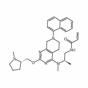 C=CC(=O)NC[C@@H](C)N(C)c1nc(OC[C@@H]2CCCN2C)nc2c1CCN(c1cccc3ccccc13)C2